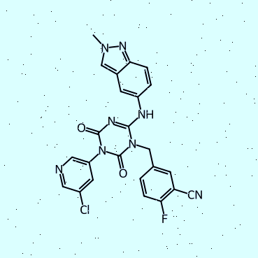 Cn1cc2cc(Nc3nc(=O)n(-c4cncc(Cl)c4)c(=O)n3Cc3ccc(F)c(C#N)c3)ccc2n1